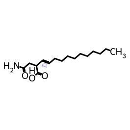 CCCCCCCCCC/C=C/C(CC(N)=O)C(=O)O